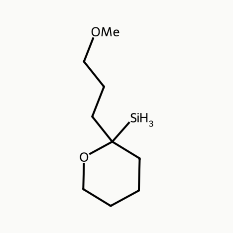 COCCCC1([SiH3])CCCCO1